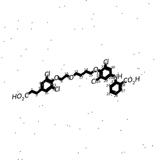 O=C(O)CCc1cc(Cl)c(OCCOCCCCOc2c(Cl)cc(Nc3ccccc3C(=O)O)cc2Cl)c(Cl)c1